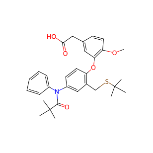 COc1ccc(CC(=O)O)cc1Oc1ccc(N(C(=O)C(C)(C)C)c2ccccc2)cc1CSC(C)(C)C